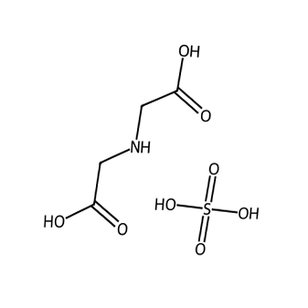 O=C(O)CNCC(=O)O.O=S(=O)(O)O